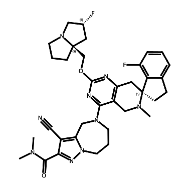 CN(C)C(=O)c1nn2c(c1C#N)CN(c1nc(OC[C@@]34CCCN3C[C@H](F)C4)nc3c1CN(C)[C@@]1(CCc4cccc(F)c41)C3)CCC2